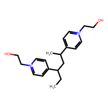 CCC(CC(C)c1cc[n+](CCO)cc1)c1cc[n+](CCO)cc1